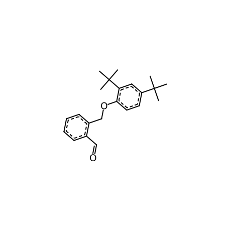 CC(C)(C)c1ccc(OCc2ccccc2C=O)c(C(C)(C)C)c1